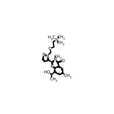 Cc1cc(C(C)O)c2nc(-c3ccnn3COCC[Si](C)(C)C)n(C)c(=O)c2c1